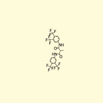 CC(C(=O)Nc1ccc(C(F)(F)F)c(C(F)(F)F)c1)C(=O)Nc1ccc(C(F)(F)F)c(C(F)(F)F)c1